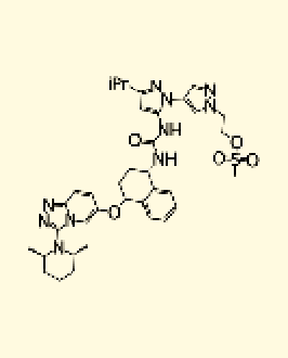 CC(C)c1cc(NC(=O)N[C@H]2CCC(Oc3ccc4nnc(N5[C@H](C)CCC[C@@H]5C)n4c3)c3ccccc32)n(-c2cnn(CCOS(C)(=O)=O)c2)n1